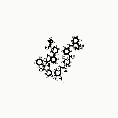 CC1(OC2CCN(C(=O)[C@H](NC(=O)c3cccc(C4CCCN(C(=O)C56CC(C5)C6)C4)c3F)C3CCCCC3)CC2)CCN(CC(=O)N2CCN(C(=O)c3cc(Cc4n[nH]c(=O)c5ccccc45)ccc3F)CC2)CC1